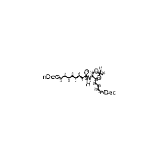 CCCCCCCCCCCCCCCCCC(=O)N[C@@H]1COC(C)(C)O[C@H]1CCCCCCCCCCCCC